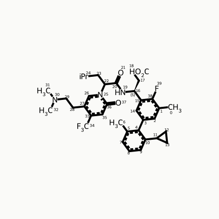 Cc1cc(-c2c(C)cccc2C2CC2)cc([C@H](CC(=O)O)NC(=O)C(CC(C)C)n2cc(CCN(C)C)c(C(F)(F)F)cc2=O)c1F